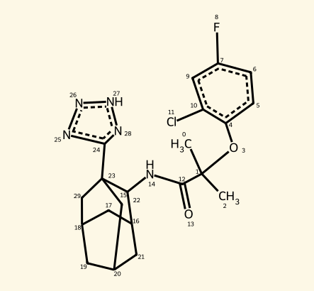 CC(C)(Oc1ccc(F)cc1Cl)C(=O)NC1C2CC3CC(C2)CC1(c1nn[nH]n1)C3